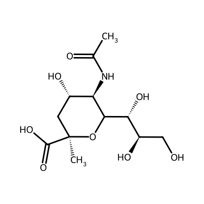 CC(=O)N[C@H]1C([C@H](O)[C@H](O)CO)O[C@@](C)(C(=O)O)C[C@@H]1O